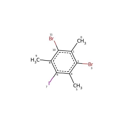 Cc1c(Br)c(C)c(I)c(C)c1Br